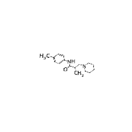 Cc1ccc(NC(=O)C(C)CN2CCCCC2)cc1